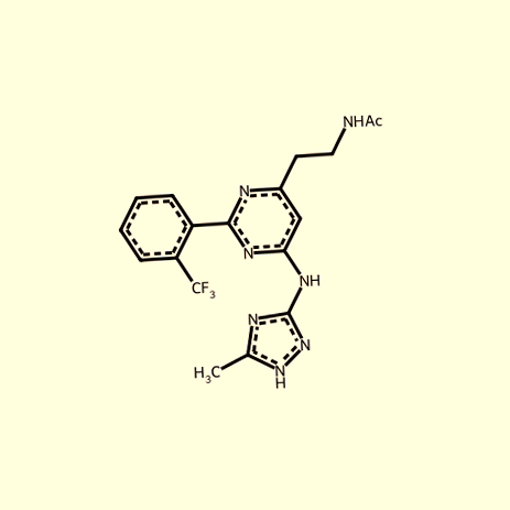 CC(=O)NCCc1cc(Nc2n[nH]c(C)n2)nc(-c2ccccc2C(F)(F)F)n1